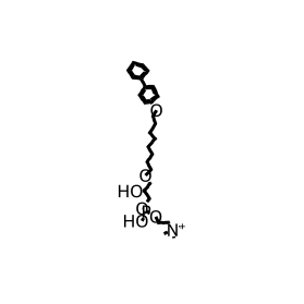 C[N+](C)(C)CCOP(O)OCC(O)COCCCCCCCCOc1ccc(-c2ccccc2)cc1